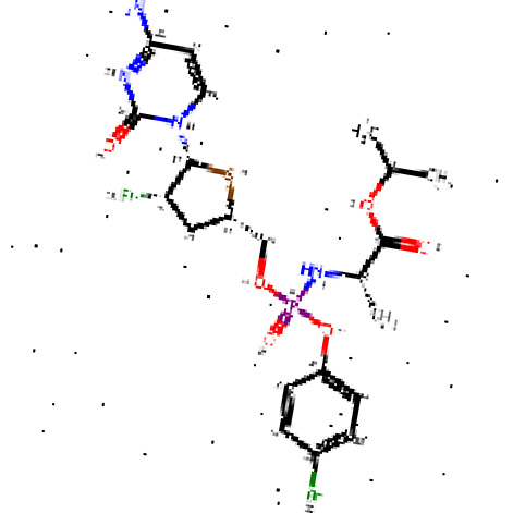 CC(C)OC(=O)[C@H](C)NP(=O)(OC[C@@H]1C[C@H](F)[C@H](n2ccc(N)nc2=O)S1)Oc1ccc(Br)cc1